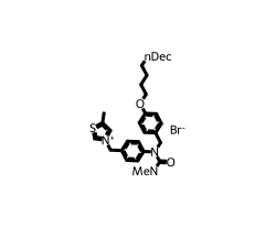 CCCCCCCCCCCCCCOc1ccc(CN(C(=O)NC)c2ccc(C[n+]3csc(C)c3)cc2)cc1.[Br-]